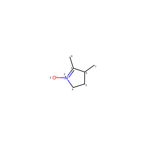 CC1=[N+]([O-])CCC1C